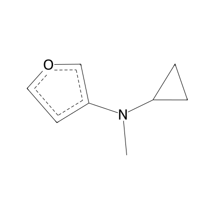 CN(c1ccoc1)C1CC1